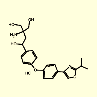 CC(C)c1nc(-c2ccc(Oc3ccc(C(O)CC(N)(CO)CO)cc3)cc2)co1.Cl